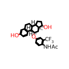 CC(=O)Nc1ccc(O[C@H]2C[C@]3(C)[C@@H](O)CC[C@H]3[C@@H]3CCc4cc(O)ccc4[C@H]32)cc1C(F)(F)F